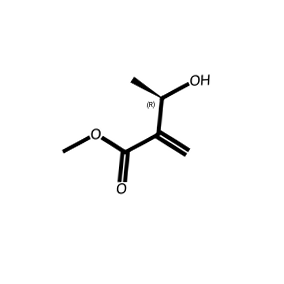 C=C(C(=O)OC)[C@@H](C)O